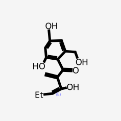 C=C(C(=O)c1c(O)cc(O)cc1CO)/C(O)=C\CC